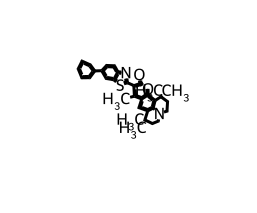 Cc1c(-c2nc3ccc(-c4ccccc4)cc3s2)c(=O)oc2c3c4c(cc12)C(C)(C)CCN4CCC3(C)C